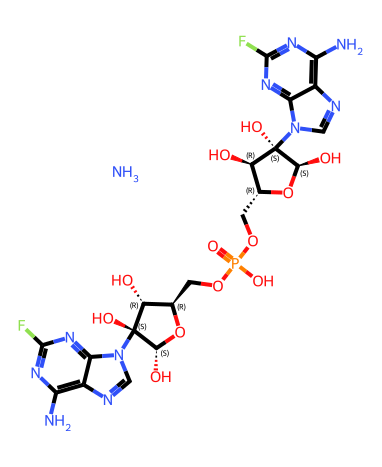 N.Nc1nc(F)nc2c1ncn2[C@]1(O)[C@H](O)[C@@H](COP(=O)(O)OC[C@H]2O[C@H](O)[C@](O)(n3cnc4c(N)nc(F)nc43)[C@@H]2O)O[C@@H]1O